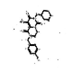 O=C1c2c(O)c(=O)n(CC3CCCCC3)c(=S)n2CCN1Cc1ccc(F)cc1